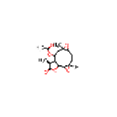 C=C1C(=O)OC2C1C(OC(C)=O)CC1(C)OC1CCC1(C)OC21